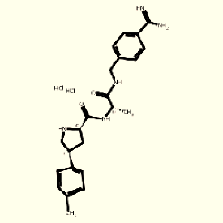 Cc1ccc([C@H]2CN[C@@H](C(=O)N[C@@H](C)C(=O)NCc3ccc(C(=N)N)cc3)C2)cc1.Cl.Cl